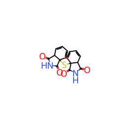 O=C1NC(=O)C2(SC34C=CC=CC3C(=O)NC4=O)C=CC=CC12